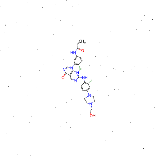 C=CC(=O)Nc1ccc(F)c(-n2cnc(=O)c3cnc(Nc4ccc(N5CCN(CCO)CC5)cc4F)nc32)c1